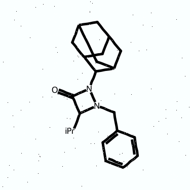 CC(C)C1C(=O)N(C2C3CC4CC(C3)CC2C4)N1Cc1ccccc1